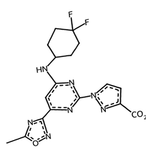 CCOC(=O)c1ccn(-c2nc(NC3CCC(F)(F)CC3)cc(-c3noc(C)n3)n2)n1